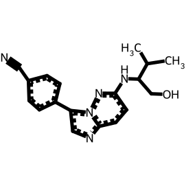 CC(C)C(CO)Nc1ccc2ncc(-c3ccc(C#N)cc3)n2n1